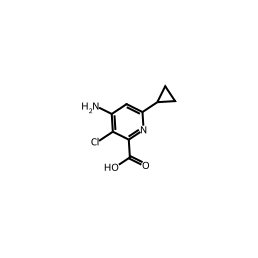 Nc1cc(C2CC2)nc(C(=O)O)c1Cl